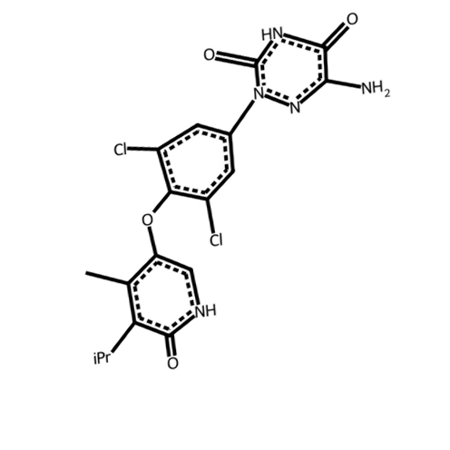 Cc1c(Oc2c(Cl)cc(-n3nc(N)c(=O)[nH]c3=O)cc2Cl)c[nH]c(=O)c1C(C)C